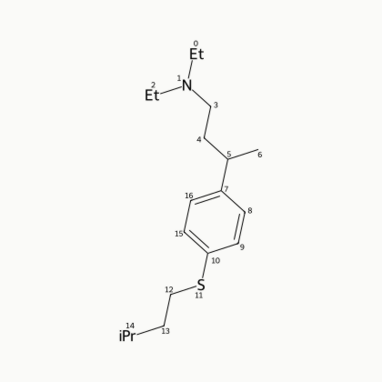 CCN(CC)CCC(C)c1ccc(SCCC(C)C)cc1